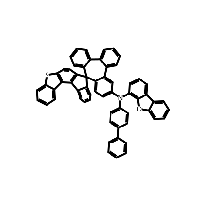 c1ccc(-c2ccc(N(c3ccc4c(c3)-c3ccccc3-c3ccccc3C43c4ccccc4-c4c3ccc3sc5ccccc5c43)c3cccc4c3oc3ccccc34)cc2)cc1